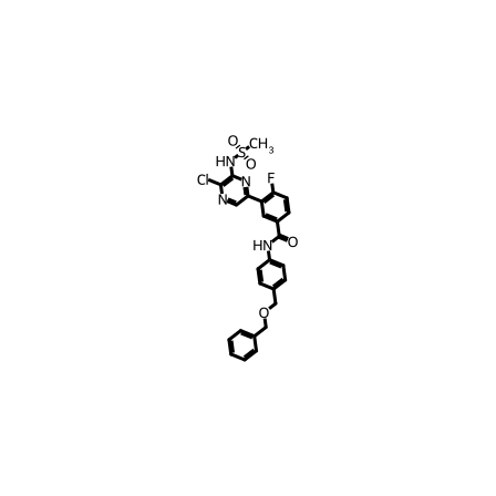 CS(=O)(=O)Nc1nc(-c2cc(C(=O)Nc3ccc(COCc4ccccc4)cc3)ccc2F)cnc1Cl